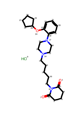 Cl.O=C1CCCC(=O)N1CCCCCN1CCN(c2ccccc2OC2CCCC2)CC1